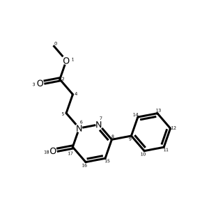 COC(=O)CCn1nc(-c2ccccc2)ccc1=O